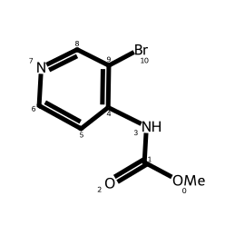 COC(=O)Nc1ccncc1Br